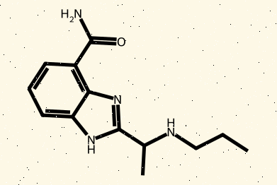 CCCNC(C)c1nc2c(C(N)=O)cccc2[nH]1